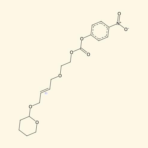 O=C(OCCOC/C=C/COC1CCCCO1)Oc1ccc([N+](=O)[O-])cc1